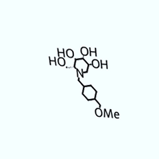 COCC1CCC(CN2C[C@H](O)[C@@H](O)[C@H](O)[C@H]2CO)CC1